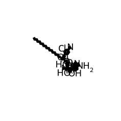 C=NC[C@]1(COP(=O)(O)OC[C@@H](COCCCCCCCCCCCCCCCCCC)OCc2ccc(C#N)c(Cl)c2)O[C@@H](c2ccc3c(N)ncnn23)[C@H](O)[C@@H]1O